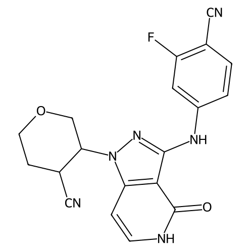 N#Cc1ccc(Nc2nn(C3COCCC3C#N)c3cc[nH]c(=O)c23)cc1F